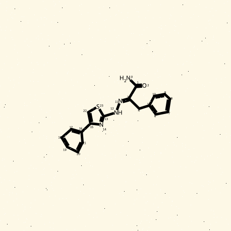 NC(=O)/C(Cc1ccccc1)=N/Nc1nc(-c2ccccc2)cs1